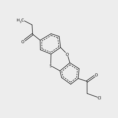 CCC(=O)c1ccc2c(c1)Sc1ccc(C(=O)CCl)cc1O2